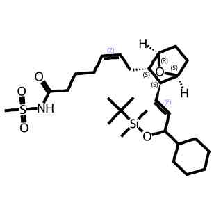 CC(C)(C)[Si](C)(C)OC(/C=C/[C@H]1[C@H](C/C=C\CCCC(=O)NS(C)(=O)=O)[C@H]2CC[C@@H]1O2)C1CCCCC1